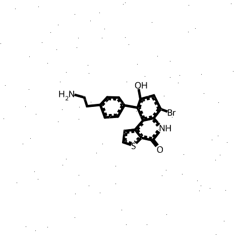 NCCc1ccc(-c2c(O)cc(Br)c3[nH]c(=O)c4sccc4c23)cc1